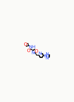 O=C(NC1COC1)c1coc(Cc2ccc(-n3nccn3)cn2)n1